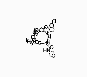 CC1(C)OCC=C[C@H](OCC(=O)NC2CCOCC2)[C@@H]2CC[C@H]2CN2C[C@@]3(CCCc4cc(Cl)ccc43)COc3ccc(cc32)S(=O)(=O)NC1=O